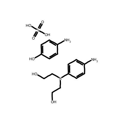 Nc1ccc(N(CCO)CCO)cc1.Nc1ccc(O)cc1.O=S(=O)(O)O